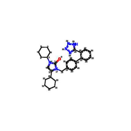 O=c1n(C2CCCCC2)cc(C2CCCCC2)n1Cc1ccc(-c2ccccc2-c2nnn[nH]2)cc1